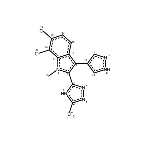 Cn1c(-c2nnc(C(F)(F)F)[nH]2)c(-c2cn[nH]c2)c2ccc(Cl)c(Cl)c21